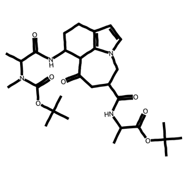 CC(NC(=O)C1CC(=O)C2c3c(ccn3C1)CCC2NC(=O)C(C)N(C)C(=O)OC(C)(C)C)C(=O)OC(C)(C)C